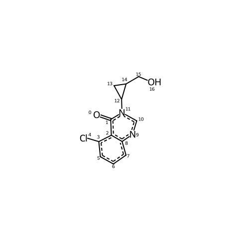 O=c1c2c(Cl)cccc2ncn1C1CC1CO